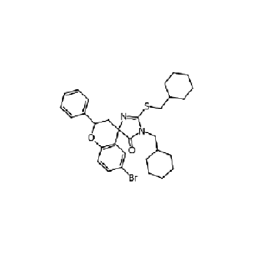 O=C1N(CC2CCCCC2)C(SCC2CCCCC2)=NC12CC(c1ccccc1)Oc1ccc(Br)cc12